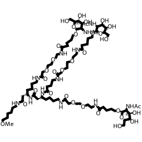 COCCCCCCNC(=O)C[C@H](CCCCNC(=O)COCCOCCNC(=O)CCCCO[C@@H]1OC(CO)[C@H](O)[C@H](O)C1NC(C)=O)NC(=O)C[C@H](CCCCNC(=O)COCCOCCNC(=O)CCCCO[C@@H]1OC(CO)[C@H](O)[C@H](O)C1NC(C)=O)NC(=O)CCCNC(=O)COCCOCCNC(=O)CCCCO[C@@H]1OC(CO)[C@H](O)[C@H](O)C1NC(C)=O